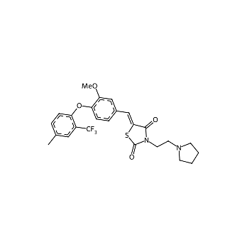 COc1cc(/C=C2\SC(=O)N(CCN3CCCC3)C2=O)ccc1Oc1ccc(C)cc1C(F)(F)F